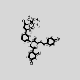 CC(C)(C)N1C(=O)C=C(c2cccc(N(CC(=O)c3ccc(Cl)cc3Cl)C(=O)CCCc3ccc(Br)cc3)c2)S1(=O)=O